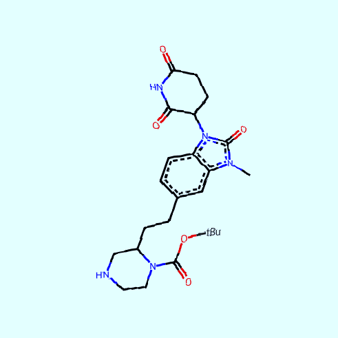 Cn1c(=O)n(C2CCC(=O)NC2=O)c2ccc(CCC3CNCCN3C(=O)OC(C)(C)C)cc21